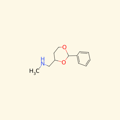 CNCC1CCOC(c2ccccc2)O1